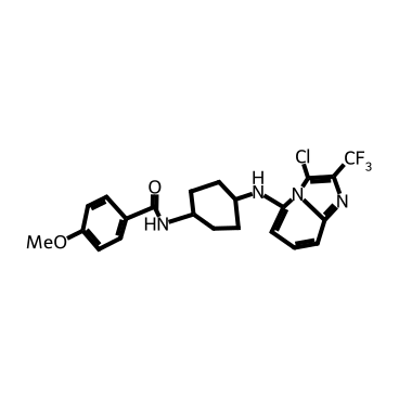 COc1ccc(C(=O)NC2CCC(Nc3cccc4nc(C(F)(F)F)c(Cl)n34)CC2)cc1